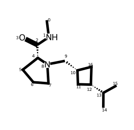 CNC(=O)[C@H]1CCCN1C[C@H]1C[C@@H](C(C)C)C1